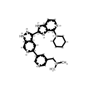 CN(C)Cc1cncc(-c2cc3c(-c4nc5c(N6CCCCC6)nccc5[nH]4)n[nH]c3cn2)c1